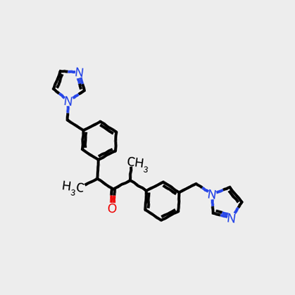 CC(C(=O)C(C)c1cccc(Cn2ccnc2)c1)c1cccc(Cn2ccnc2)c1